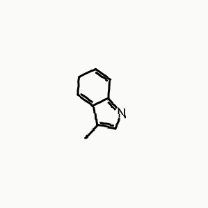 CC1=CN=C2C=CCC=C12